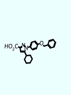 O=C(O)c1cc(C2CCCCC2)n(-c2ccc(OCc3ccccc3)cc2)n1